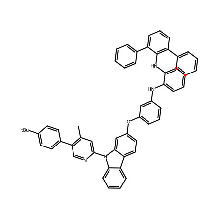 Cc1cc(-n2c3ccccc3c3ccc(Oc4cccc(Nc5ccccc5Nc5c(-c6ccccc6)cccc5-c5ccccc5)c4)cc32)ncc1-c1ccc(C(C)(C)C)cc1